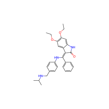 CCOc1cc2c(cc1OCC)C(=C(Nc1ccc(CNC(C)C)cc1)c1ccccc1)C(=O)N2